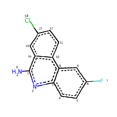 Nc1nc2ccc(F)cc2c2ccc(Cl)cc12